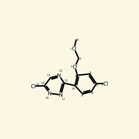 COCOc1cc(Cl)ccc1-c1ncc(Cl)nn1